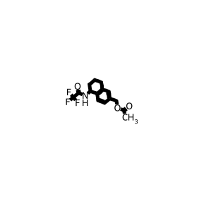 CC(=O)OCc1ccc2c(c1)CCCC2NC(=O)C(F)(F)F